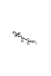 CC(C)S(=O)(=O)CCNCCOC(N)=O